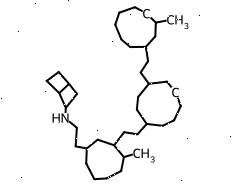 CC1CCCCCCC(CCC2CCCCCC(CCC3CC(CCNC4CC5CCC54)CCCCC3C)CC2)C1